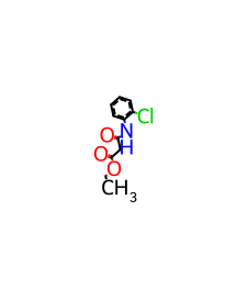 CCOC(=O)CC(=O)Nc1ccccc1Cl